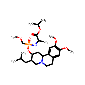 COCP(=O)(NC(C)C(=O)OC(C)C)OC1CC2c3cc(OC)c(OC)cc3CCN2CC1CC(C)C